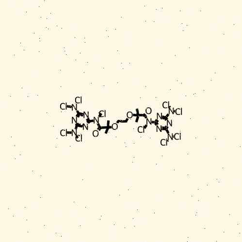 CC(C)(OCCOC(C)(C)C(=O)N(Cl)c1nc(N(Cl)Cl)nc(N(Cl)Cl)n1)C(=O)N(Cl)c1nc(N(Cl)Cl)nc(N(Cl)Cl)n1